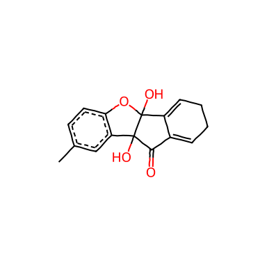 Cc1ccc2c(c1)C1(O)C(=O)C3=CCCC=C3C1(O)O2